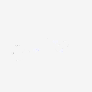 COc1cc(CNCCCC(C)Nc2ccnc3cc(Cl)ccc23)cc(OC)c1OC